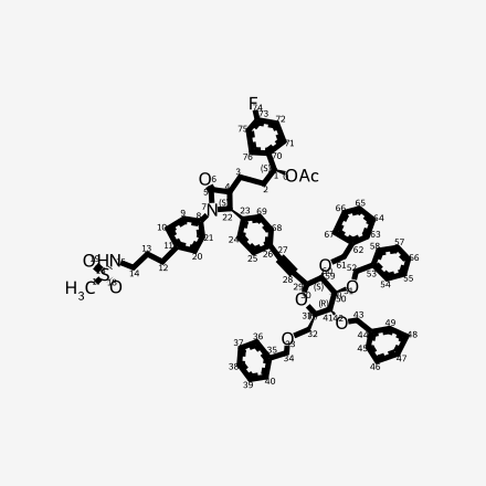 CC(=O)O[C@@H](CCC1C(=O)N(c2ccc(CCCNS(C)(=O)=O)cc2)[C@@H]1c1ccc(C#CC2O[C@H](COCc3ccccc3)[C@@H](OCc3ccccc3)[C@H](OCc3ccccc3)[C@H]2OCc2ccccc2)cc1)c1ccc(F)cc1